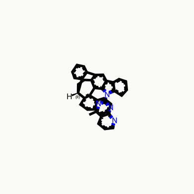 Cc1nc(-n2c3ccccc3c3cc4c5c(c32)-c2c(ccc3ccccc23)[C@H](CC5)c2ccccc2-4)nc2ncccc12